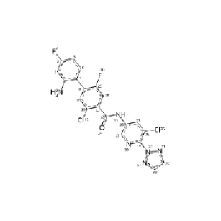 Nc1cc(F)ccc1-c1cc(Cl)c(C(=O)Nc2cnc(-n3nccn3)c(Cl)c2)cc1F